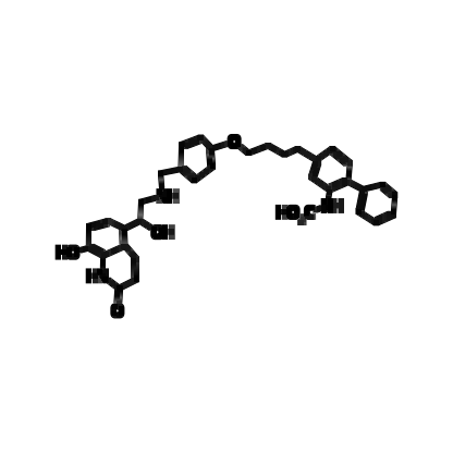 O=C(O)Nc1cc(CCCCOc2ccc(CNCC(O)c3ccc(O)c4[nH]c(=O)ccc34)cc2)ccc1-c1ccccc1